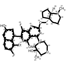 CCc1c(F)ccc2cc(O)cc(-c3nc(OC)c4c(N5CCOC[C@@](C)(O)C5)nc(OC[C@]56CCC[C@H]5N(C)CCC6)nc4c3F)c12